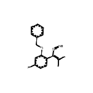 CC(C)=C(N=N)c1ccc(F)cc1OCc1ccccc1